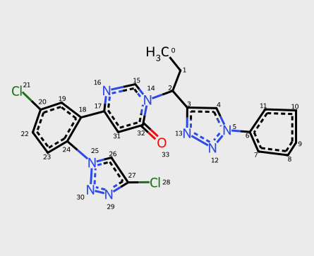 CCC(c1cn(-c2ccccc2)nn1)n1cnc(-c2cc(Cl)ccc2-n2cc(Cl)nn2)cc1=O